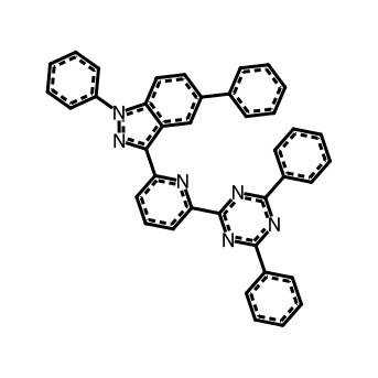 c1ccc(-c2ccc3c(c2)c(-c2cccc(-c4nc(-c5ccccc5)nc(-c5ccccc5)n4)n2)nn3-c2ccccc2)cc1